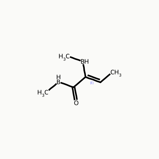 CBC(=O)/C(BC)=C/C